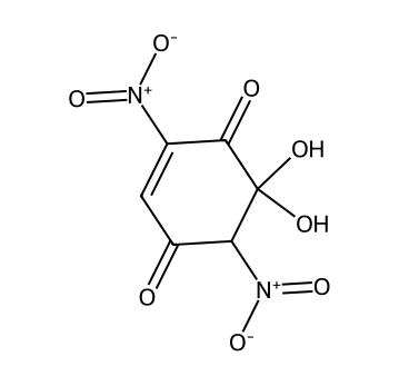 O=C1C=C([N+](=O)[O-])C(=O)C(O)(O)C1[N+](=O)[O-]